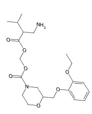 CCOc1ccccc1OCC1CN(C(=O)OCOC(=O)C(CN)C(C)C)CCO1